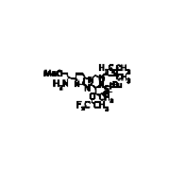 COC[C@@H](N)c1ccc2c(n1)nc([C@@H](N[S@+]([O-])C(C)(C)C)[C@@H](C)O[C@H](C)C(F)(F)F)n2COCC[Si](C)(C)C